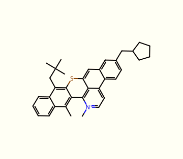 Cc1c2c(c(CC(C)(C)C)c3ccccc13)Sc1cc3cc(CC4CCCC4)ccc3c3cc[n+](C)c-2c13